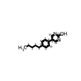 CCCCCc1ccc(-c2cnc(O)nc2)cc1